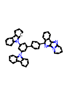 c1ccc2c(c1)c(-c1ccc(-c3cc(-n4c5ccccc5c5ccccc54)cc(-n4c5ccccc5c5ccccc54)c3)cc1)nc1c2nc2ccccn21